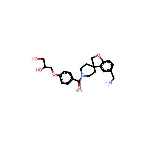 Cl.NCc1ccc2c(c1)C1(CCN(C(=O)c3ccc(OCC(O)CO)cc3)CC1)CO2